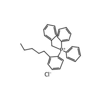 CCCCCc1ccccc1[P+](Cc1ccccc1)(c1ccccc1)c1ccccc1.[Cl-]